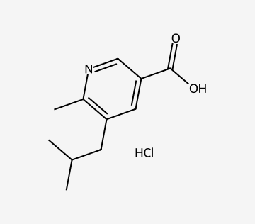 Cc1ncc(C(=O)O)cc1CC(C)C.Cl